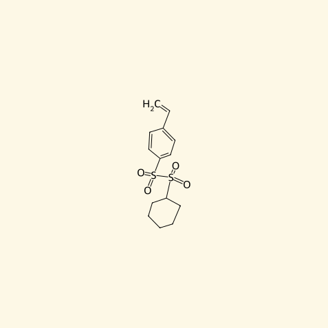 C=Cc1ccc(S(=O)(=O)S(=O)(=O)C2CCCCC2)cc1